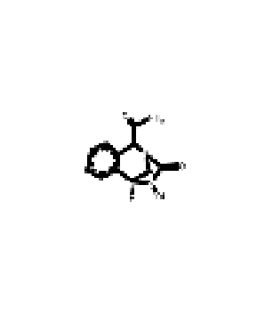 NC(=O)C1c2ccccc2[C@@H]2CN1C(=O)N2O